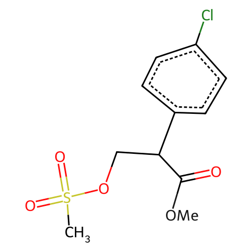 COC(=O)C(COS(C)(=O)=O)c1ccc(Cl)cc1